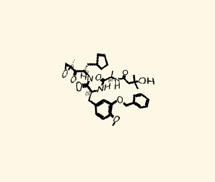 COc1ccc(C[C@H](NC(=O)[C@@H](C)NC(=O)CC(C)(C)O)C(=O)N[C@@H](CC2CCCC2)C(=O)[C@]2(C)CO2)cc1OCc1ccccc1